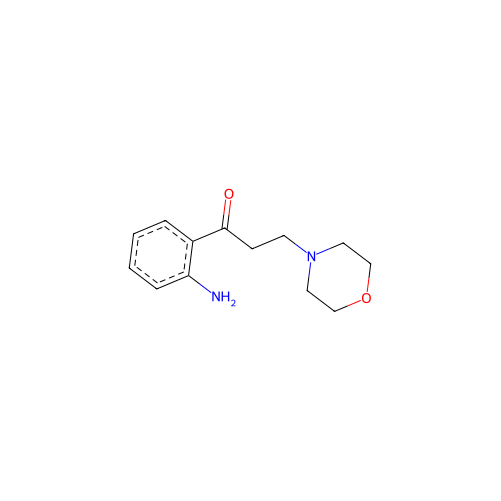 Nc1ccccc1C(=O)CCN1CCOCC1